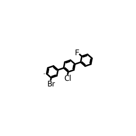 Fc1ccccc1-c1ccc(-c2cc[c]c(Br)c2)c(Cl)c1